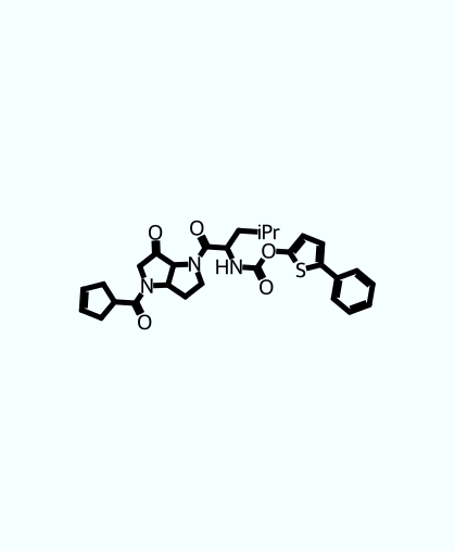 CC(C)CC(NC(=O)Oc1ccc(-c2ccccc2)s1)C(=O)N1CCC2C1C(=O)CN2C(=O)C1CC=CC1